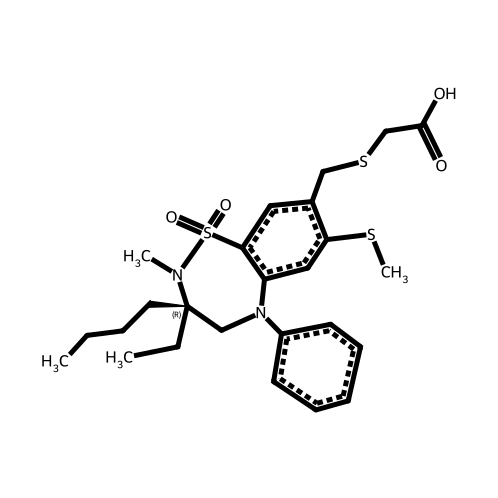 CCCC[C@]1(CC)CN(c2ccccc2)c2cc(SC)c(CSCC(=O)O)cc2S(=O)(=O)N1C